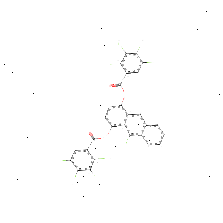 O=C(Oc1ccc(OC(=O)c2cc(F)c(F)c(F)c2F)c2c(F)c3ccccc3cc12)c1cc(F)c(F)c(F)c1F